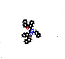 c1ccc2cc(-c3nc(-c4cc5ccccc5c5c4oc4ccc6ccccc6c45)cc(-c4cc5ccccc5c5c4oc4ccc6ccccc6c45)n3)ccc2c1